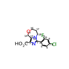 O=C(O)c1nc(-c2ccc(Cl)cc2F)n2c1COCCC2